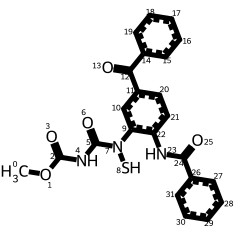 COC(=O)NC(=O)N(S)c1cc(C(=O)c2ccccc2)ccc1NC(=O)c1ccccc1